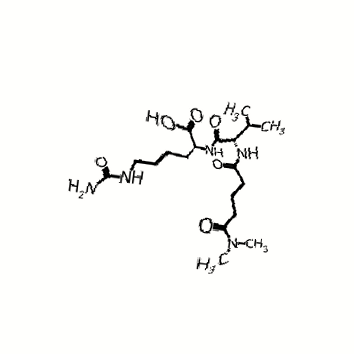 CC(C)[C@H](NC(=O)CCCC(=O)N(C)C)C(=O)N[C@@H](CCCCNC(N)=O)C(=O)O